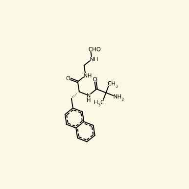 CC(C)(N)C(=O)N[C@H](Cc1ccc2ccccc2c1)C(=O)NCNC=O